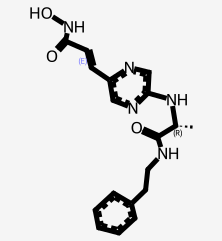 C[C@@H](Nc1cnc(/C=C/C(=O)NO)cn1)C(=O)NCCc1ccccc1